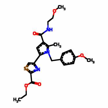 CCOC(=O)c1nc(-c2cc(C(=O)NCCOC)c(C)n2Cc2ccc(OC)cc2)cs1